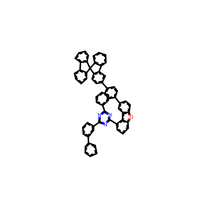 c1ccc(-c2cccc(-c3nc(-c4ccccc4)nc(-c4cccc5oc6ccc(-c7ccc(-c8ccc9c(c8)-c8ccccc8C98c9ccccc9-c9ccccc98)cc7)cc6c45)n3)c2)cc1